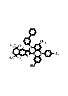 Cc1cc2c3c(c1)N(c1cccc(-c4ccccc4)c1)c1c(oc4cc5c(cc14)C(C)(C)CCC5(C)C)B3c1cc(C(C)(C)C)ccc1N2c1ccc(C(C)(C)C)cc1